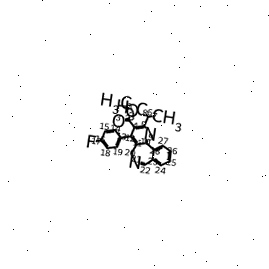 COC(=O)c1c(C(C)C)nc2c(c1-c1ccc(F)cc1)CN=Cc1ccccc1-2